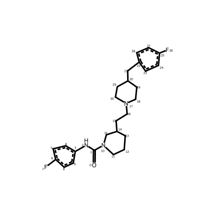 O=C(Nc1ccc(F)cc1)N1CCCC(CCN2CCC(Cc3ccc(F)cc3)CC2)C1